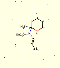 CC=CN(C(=O)OCC)C1([SiH3])CCCCO1